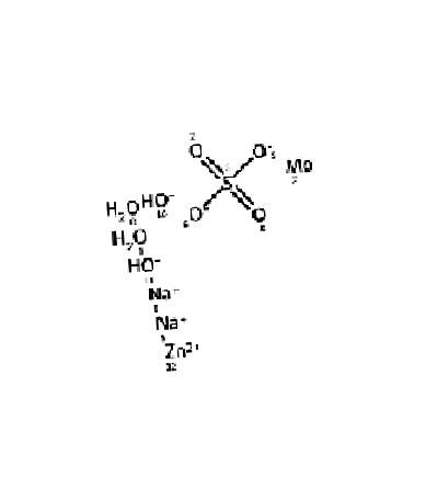 O.O.O=S(=O)([O-])[O-].[Mo].[Na+].[Na+].[OH-].[OH-].[Zn+2]